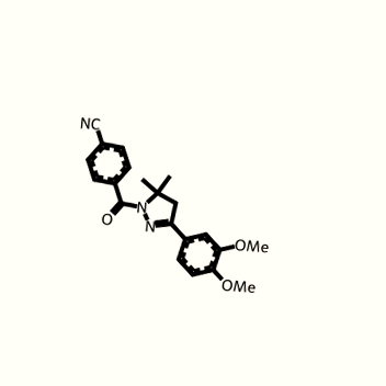 COc1ccc(C2=NN(C(=O)c3ccc(C#N)cc3)C(C)(C)C2)cc1OC